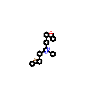 C1=CC(c2nc(-c3ccc(-c4cccc5c4-c4ccccc4CO5)cc3)cc(-c3cccc(-c4cccc5c4sc4ccccc45)c3)n2)=CCC1